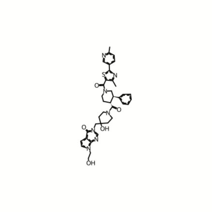 Cc1ccc(-c2nc(C)c(C(=O)N3CC[C@@H](C(=O)N4CCC(O)(Cn5cnc6c(ccn6CCO)c5=O)CC4)[C@H](c4ccccc4)C3)s2)cn1